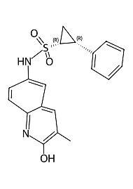 Cc1cc2cc(NS(=O)(=O)[C@@H]3C[C@@H]3c3ccccc3)ccc2nc1O